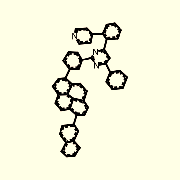 c1ccc(-c2cc(-c3ccccc3-c3ccncc3)nc(-c3cccc(-c4ccc5ccc6c(-c7ccc8ccccc8c7)ccc7ccc4c5c76)c3)n2)cc1